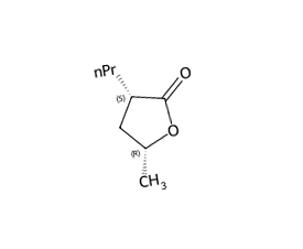 CCC[C@H]1C[C@@H](C)OC1=O